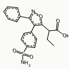 CCC(C(=O)O)c1onc(-c2ccccc2)c1-c1ccc(S(N)(=O)=O)cc1